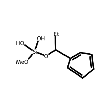 CCC(O[Si](O)(O)OC)c1ccccc1